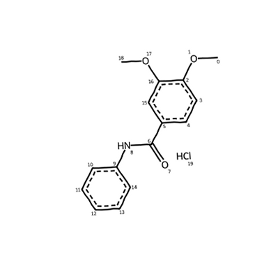 COc1ccc(C(=O)Nc2ccccc2)cc1OC.Cl